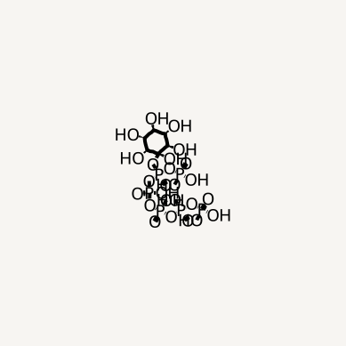 O=P(O)(O)OP(=O)(O)OP(=O)(O)OP(=O)(O)OP(=O)(O[C@]1(O)[C@H](O)[C@H](O)[C@@H](O)[C@H](O)[C@H]1O)OP(=O)(O)O